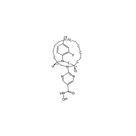 O=C(NO)c1cnc(N2C[C@@H]3CCCCCCCCCCC[C@H]2CN3c2ccc(C(F)(F)F)cc2F)nc1